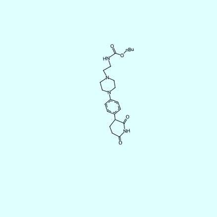 CCCCOC(=O)NCCN1CCN(c2ccc(C3CCC(=O)NC3=O)cc2)CC1